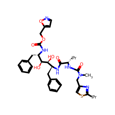 CC(C)c1nc(CN(C)C(=O)N[C@H](C(=O)N[C@@H](Cc2ccccc2)[C@H](O)[C@@H](O)[C@H](Cc2ccccc2)NC(=O)OCc2ccno2)C(C)C)cs1